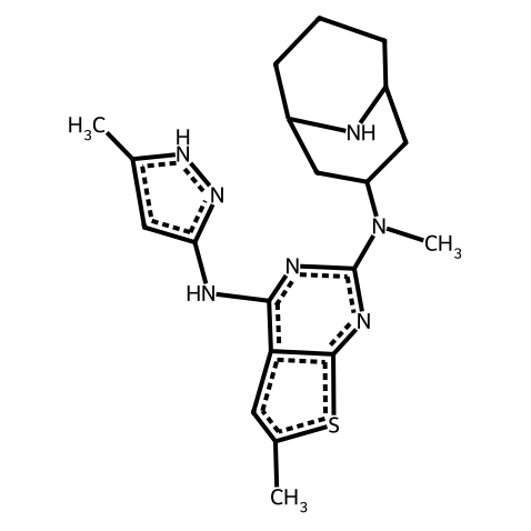 Cc1cc(Nc2nc(N(C)C3CC4CCCC(C3)N4)nc3sc(C)cc23)n[nH]1